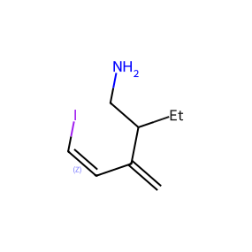 C=C(/C=C\I)C(CC)CN